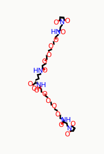 O=C(CCOCCOCCOCCOCCNC(=O)CCN1C(=O)C=CC1=O)NCCCC[C@H](NC(=O)CCOCCOCCOCCOCCNC(=O)CCN1C(=O)C=CC1=O)C(=O)O